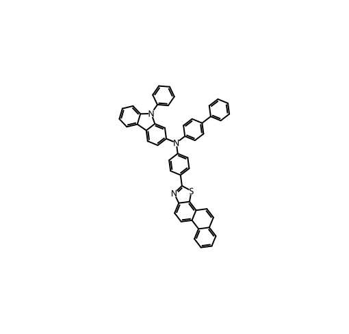 c1ccc(-c2ccc(N(c3ccc(-c4nc5ccc6c7ccccc7ccc6c5s4)cc3)c3ccc4c5ccccc5n(-c5ccccc5)c4c3)cc2)cc1